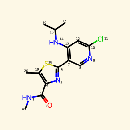 CNC(=O)c1nc(-c2cnc(Cl)cc2NC(C)C)sc1C